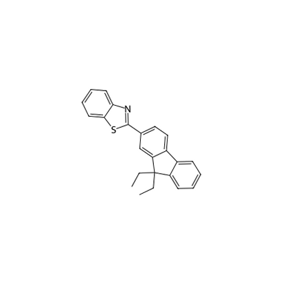 CCC1(CC)c2ccccc2-c2ccc(-c3nc4ccccc4s3)cc21